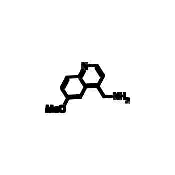 COc1ccc2nccc(CN)c2c1